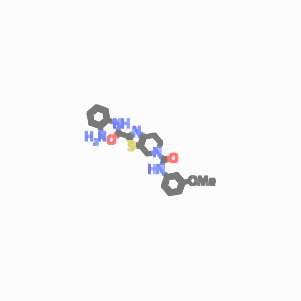 COc1cccc(NC(=O)N2CCc3nc(C(=O)Nc4ccccc4N)sc3C2)c1